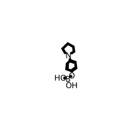 OB(O)Oc1ccc(N2CCCCC2)cc1